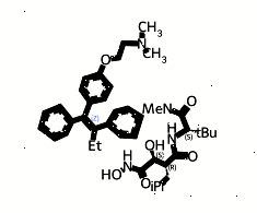 CC/C(=C(\c1ccccc1)c1ccc(OCCN(C)C)cc1)c1ccccc1.CNC(=O)[C@@H](NC(=O)[C@H](CC(C)C)[C@H](O)C(=O)NO)C(C)(C)C